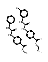 CCOC(=O)c1ccc(NC(=O)Nc2cccc(Cl)c2)cc1.COC(=O)c1ccc(NC(=O)Nc2ccccc2)cc1